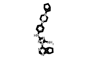 Nc1nc(Nc2ccc(N3CCN(C4CC5CCC4C5)CC3)cc2)nn1-c1ncnc2c1C1CCC2C1